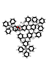 Cc1ccccc1N1c2cc3c(cc2B2c4cc5c(cc4N(c4ccccc4C)c4cc([Si](c6ccccc6)(c6ccccc6)c6ccccc6)cc1c42)Oc1cc([Si](c2ccccc2)(c2ccccc2)c2ccccc2)cc2c1B5c1ccccc1O2)B1c2ccccc2Oc2cc([Si](c4ccccc4)(c4ccccc4)c4ccccc4)cc(c21)O3